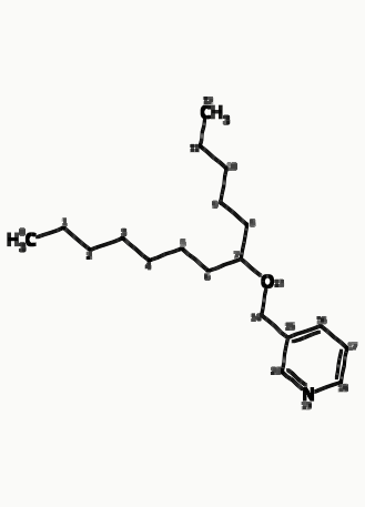 CCCCCCCC(CCCCC)OCc1cccnc1